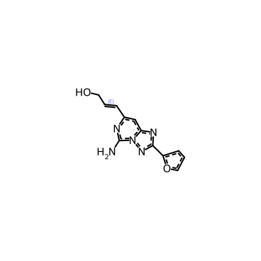 Nc1nc(/C=C/CO)cc2nc(-c3ccco3)nn12